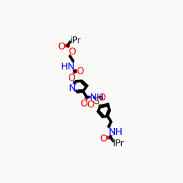 CC(C)C(=O)NCCc1ccc(S(=O)(=O)NC(=O)c2ccc(OC(=O)NCCOC(=O)C(C)C)nc2)cc1